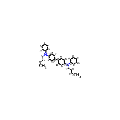 CCCCN(c1ccccc1)c1ccc(-c2ccc(N(CCCC)c3ccccc3)cc2)cc1